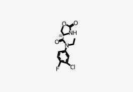 CCN(C(=O)[C@@H]1COC(=O)N1)c1ccc(F)c(Cl)c1